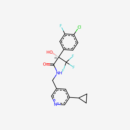 O=C(NCc1cncc(C2CC2)c1)[C@@](O)(c1ccc(Cl)c(F)c1)C(F)(F)F